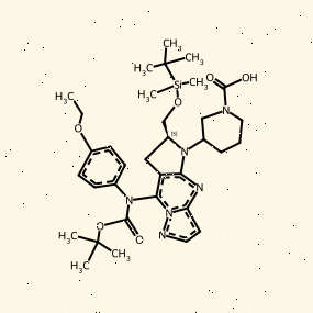 CCOc1ccc(N(C(=O)OC(C)(C)C)c2c3c(nc4ccnn24)N(C2CCCN(C(=O)O)C2)[C@H](CO[Si](C)(C)C(C)(C)C)C3)cc1